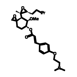 CO[C@@H]1[C@H](OC(=O)/C=C/c2ccc(OCCN(C)C)cc2)CCC2(CO2)[C@H]1[C@@]1(C)O[C@@H]1CCC(C)C